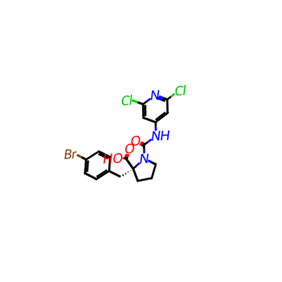 O=C(Nc1cc(Cl)nc(Cl)c1)N1CCC[C@@]1(Cc1ccc(Br)cc1)C(=O)O